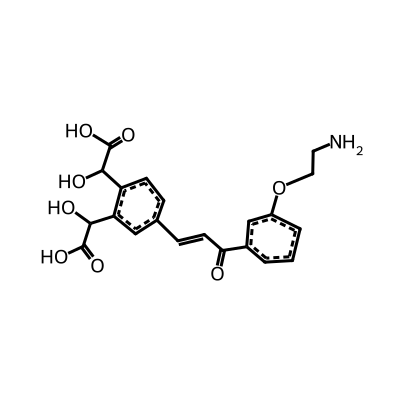 NCCOc1cccc(C(=O)/C=C/c2ccc(C(O)C(=O)O)c(C(O)C(=O)O)c2)c1